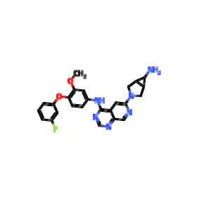 COc1cc(Nc2ncnc3cnc(N4CC5C(N)C5C4)cc23)ccc1Oc1cccc(F)c1